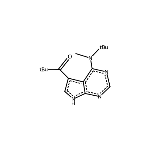 CN(c1ncnc2[nH]cc(C(=O)C(C)(C)C)c12)C(C)(C)C